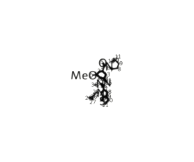 COc1cc(C(=O)N2CCC[C@@H](C)C2)cc2nc(-c3cc4ccsc4n3CC3CC3)n(C)c12